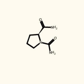 NC(=O)[C@@H]1CCCN1C(N)=O